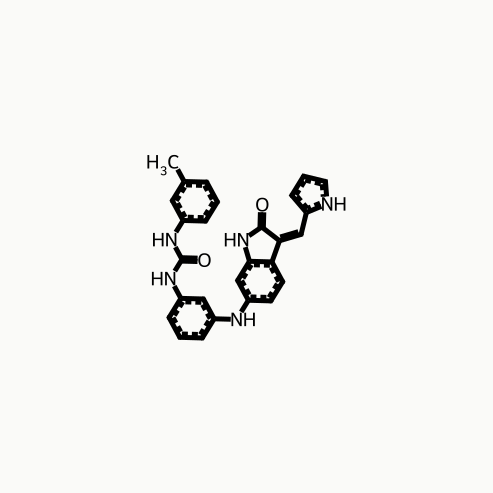 Cc1cccc(NC(=O)Nc2cccc(Nc3ccc4c(c3)NC(=O)C4=Cc3ccc[nH]3)c2)c1